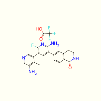 Cc1c(N)cncc1-c1cc(-c2ccc3c(c2)CCNC3=O)c(N)nc1F.O=C(O)C(F)(F)F